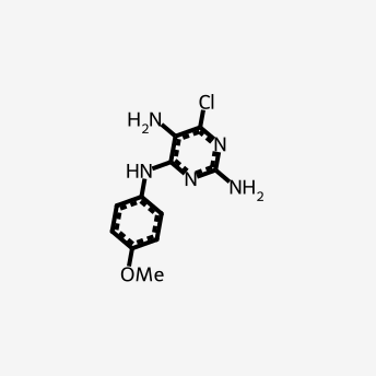 COc1ccc(Nc2nc(N)nc(Cl)c2N)cc1